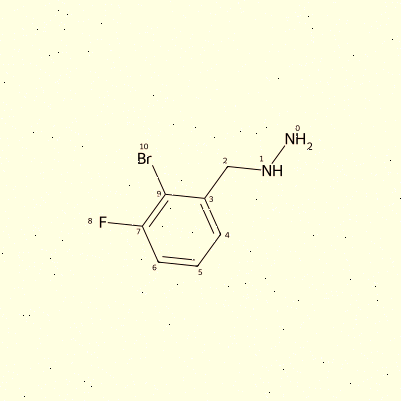 NNCc1cccc(F)c1Br